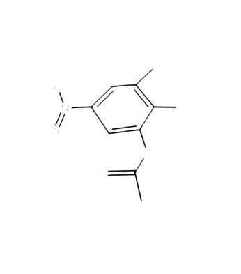 CC(=O)Oc1cc([N+](=O)[O-])cc(F)c1F